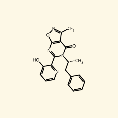 C[C@H](Cc1ccccc1)n1c(-c2ncccc2O)nc2onc(C(F)(F)F)c2c1=O